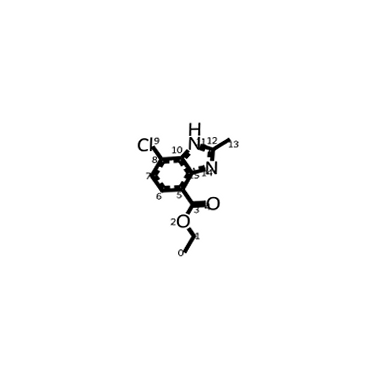 CCOC(=O)c1ccc(Cl)c2[nH]c(C)nc12